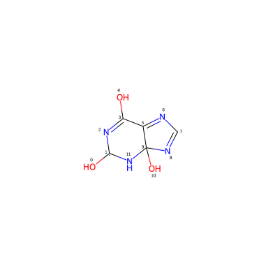 O[C]1N=C(O)C2=NC=NC2(O)N1